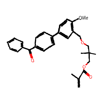 C=C(C)C(=O)OCC(C)(C)COCc1cc(-c2ccc(C(=O)c3ccccc3)cc2)ccc1OC